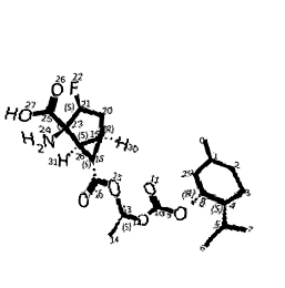 CC1CC[C@@H](C(C)C)[C@H](OC(=O)O[C@@H](C)OC(=O)[C@H]2[C@@H]3C[C@H](F)[C@@](N)(C(=O)O)[C@@H]32)C1